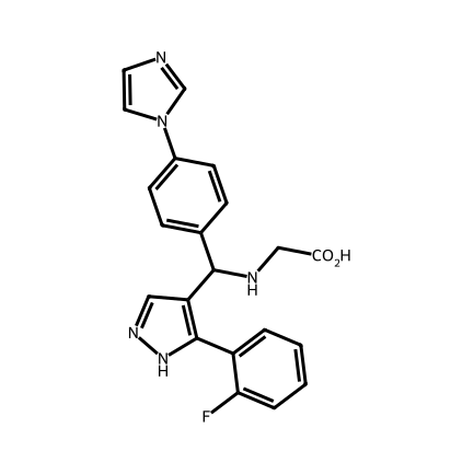 O=C(O)CNC(c1ccc(-n2ccnc2)cc1)c1cn[nH]c1-c1ccccc1F